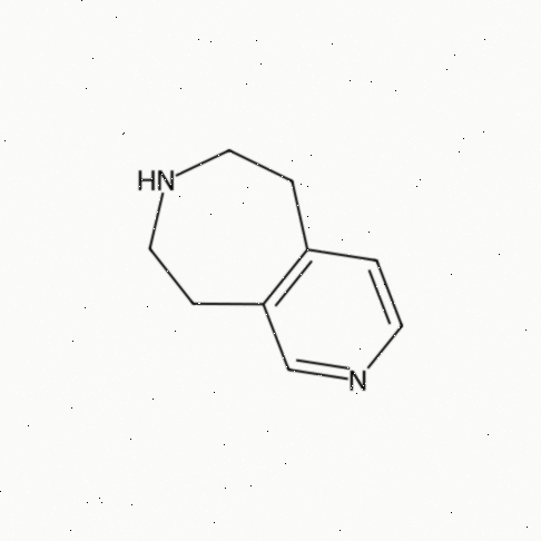 c1cc2c(cn1)CCNCC2